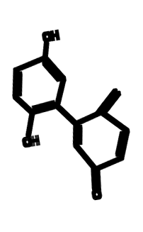 C=C1C=CC(=O)C=C1c1cc(O)ccc1O